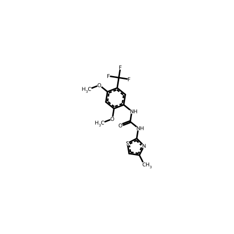 COc1cc(OC)c(C(F)(F)F)cc1NC(=O)Nc1nc(C)cs1